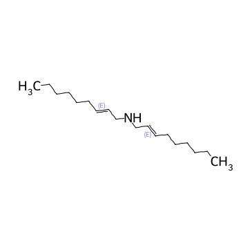 CCCCCC/C=C/CNC/C=C/CCCCCC